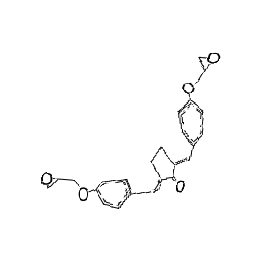 O=C1C(=Cc2ccc(OCC3CO3)cc2)CCC1=Cc1ccc(OCC2CO2)cc1